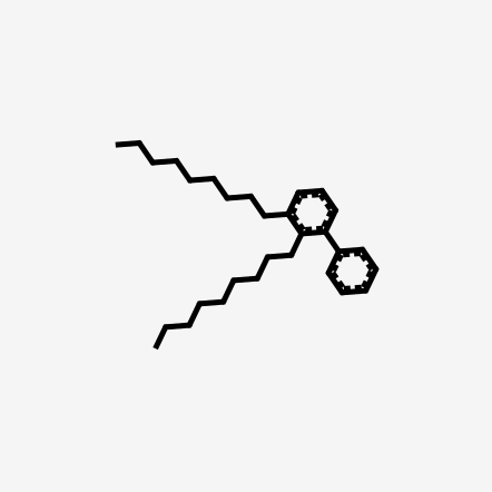 CCCCCCCCCc1cccc(-c2ccccc2)c1CCCCCCCCC